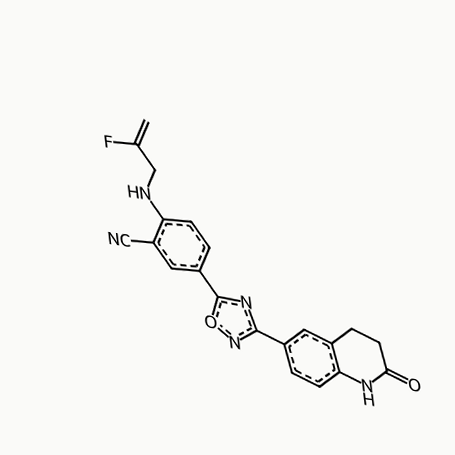 C=C(F)CNc1ccc(-c2nc(-c3ccc4c(c3)CCC(=O)N4)no2)cc1C#N